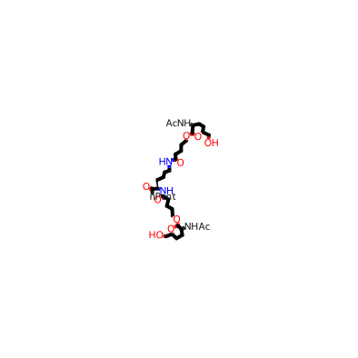 CCCCCC(=O)[C@@H](CCCCNC(=O)CCCCOC1OC(CO)CCC1NC(C)=O)NC(=O)CCCCOC1OC(CO)CCC1NC(C)=O